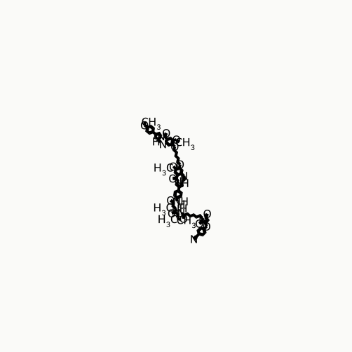 COc1ccc(C2=CN3C(=O)c4cc(OC)c(OCCCCCOc5cc6c(cc5OC)C(=O)N5C=C(c7ccc(NC(=O)[C@@H](C)NC(=O)[C@H](NC(=O)CCCCCN8C(=O)C=C(Oc9ccc(C#N)cc9)C8=O)C(C)C)cc7)C[C@H]5C=N6)cc4N=C[C@@H]3C2)cc1